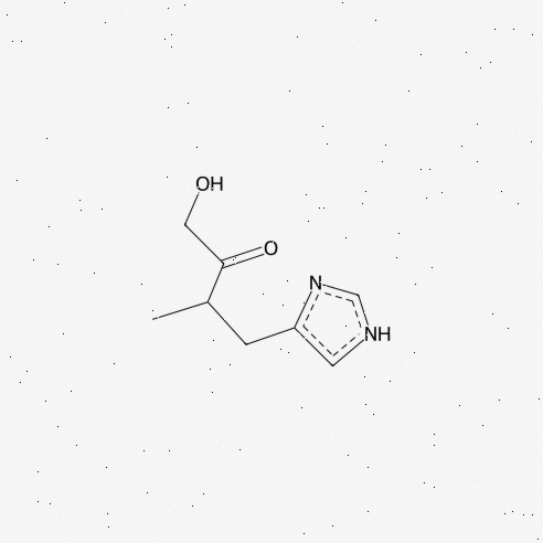 CC(Cc1c[nH]cn1)C(=O)CO